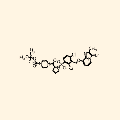 Cc1nc2c(OCc3c(Cl)ccc(S(=O)(=O)N4CCCC4C(=O)N4CCN(C(=O)OC(C)(C)C)CC4)c3Cl)cccn2c1Br